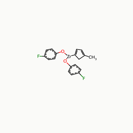 CC1=CC=[C]([Zr]([O]c2ccc(F)cc2)[O]c2ccc(F)cc2)C1